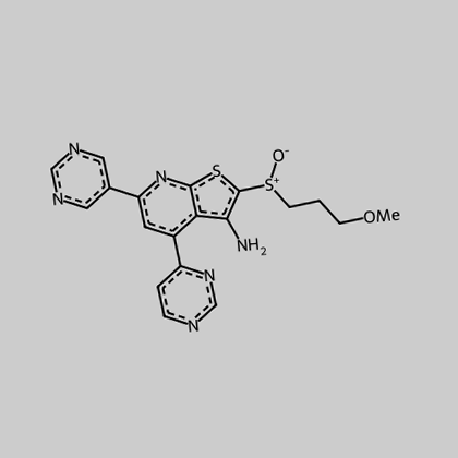 COCCC[S+]([O-])c1sc2nc(-c3cncnc3)cc(-c3ccncn3)c2c1N